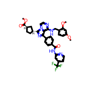 COC(=O)[C@@H]1CC[C@@H](c2nc(-c3ccc(C(=O)Nc4cc(C(F)(F)F)ccn4)cc3)c3c(NCc4ccc(OC)cc4OC)nccn23)C1